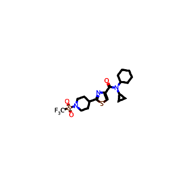 O=C(c1csc(C2CCN(S(=O)(=O)C(F)(F)F)CC2)n1)N(C1CCCCC1)C1CC1